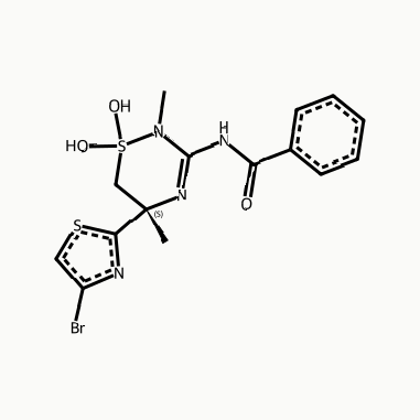 CN1C(NC(=O)c2ccccc2)=N[C@](C)(c2nc(Br)cs2)CS1(O)O